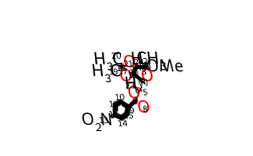 COC1(C)O[C@H](COC(=O)c2ccc([N+](=O)[O-])cc2)[C@H]2OC(C)(C)O[C@H]21